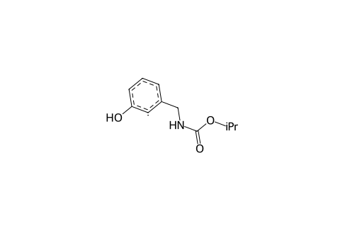 CC(C)OC(=O)NCc1[c]c(O)ccc1